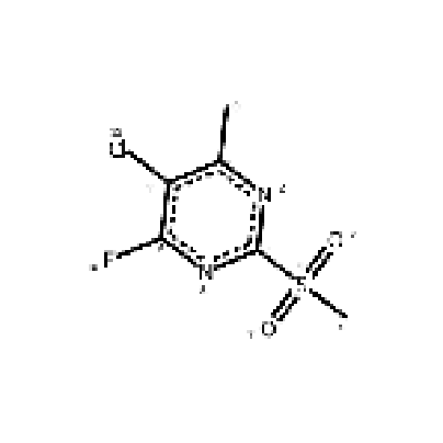 Cc1nc(S(C)(=O)=O)nc(F)c1Cl